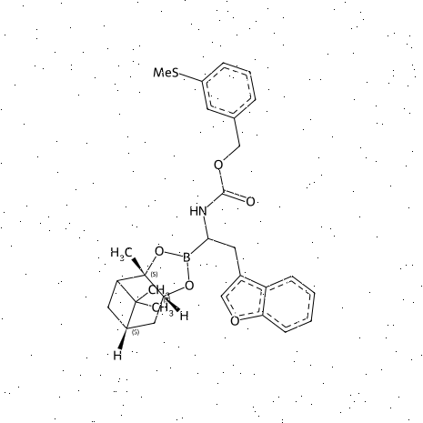 CSc1cccc(COC(=O)NC(Cc2coc3ccccc23)B2O[C@@H]3C[C@@H]4CC(C4(C)C)[C@]3(C)O2)c1